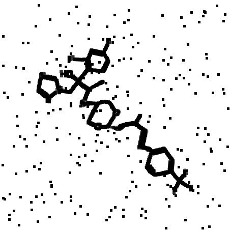 CC(C=Cc1ccc(C(F)(F)F)cc1)=C[C@H]1OC[C@H](S[C@H](C)[C@](O)(Cn2cncn2)c2ccc(F)cc2F)CO1